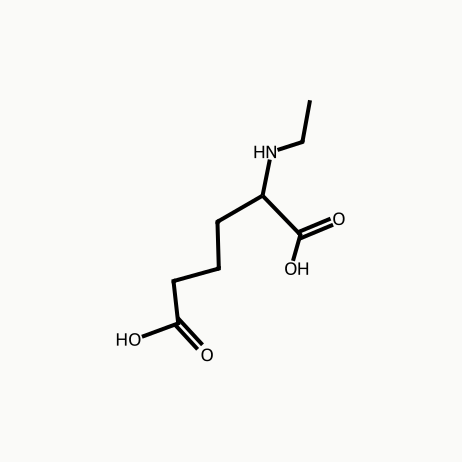 CCNC(CCCC(=O)O)C(=O)O